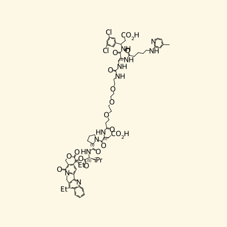 CCc1c2c(nc3ccccc13)-c1cc3c(c(=O)n1C2)COC(=O)[C@@]3(CC)OC(=O)[C@@H](NC(=O)[C@@H]1CCCN1C(=O)[C@H](CC(=O)O)NC(=O)CCOCCOCCOCCNC(=O)NC[C@H](NC(=O)CCCCNc1cc(C)ccn1)C(=O)NC(CC(=O)O)c1cc(Cl)cc(Cl)c1)C(C)C